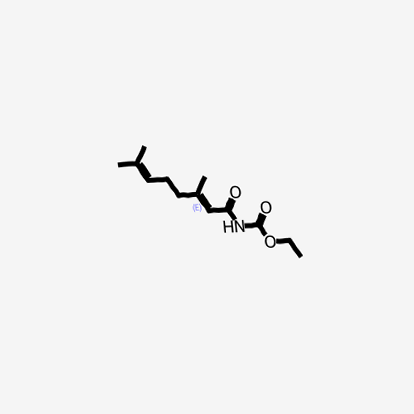 CCOC(=O)NC(=O)/C=C(\C)CCC=C(C)C